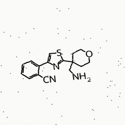 N#Cc1ccccc1-c1csc(C2(CN)CCOCC2)n1